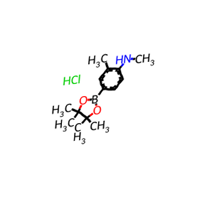 CNc1ccc(B2OC(C)(C)C(C)(C)O2)cc1C.Cl